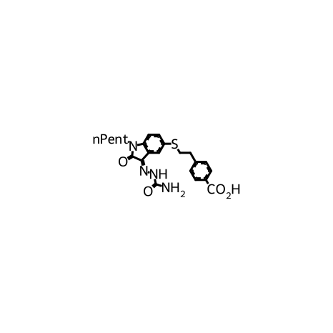 CCCCCN1C(=O)/C(=N/NC(N)=O)c2cc(SCCc3ccc(C(=O)O)cc3)ccc21